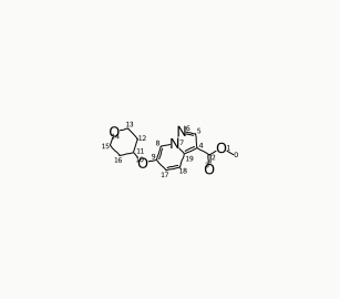 COC(=O)c1cnn2cc(OC3CCOCC3)ccc12